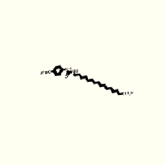 COc1ccc(NC(=O)NCCCCCCCCCCCCCCCC(=O)O)cc1